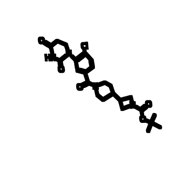 CC(C)(C)OC(=O)N1CC(C2CCN(C(=O)c3ccc(Cl)c(N4CCC(=O)NC4=O)c3)CC2)C1